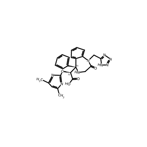 Cc1cc(C)nc(O[C@H](C(=O)O)[C@@]2(c3ccccc3)NCC(=O)N(Cc3nnn[nH]3)c3ccccc32)n1